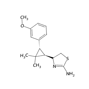 COc1cccc([C@@H]2[C@@H](C3CSC(N)=N3)C2(C)C)c1